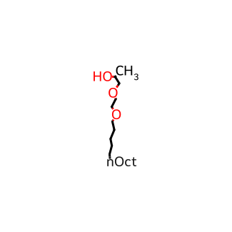 CCCCCCCCCCCCCOCCOCC(C)O